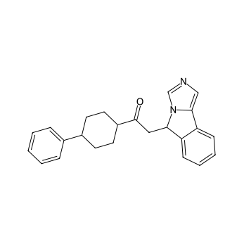 O=C(CC1c2ccccc2-c2cncn21)C1CCC(c2ccccc2)CC1